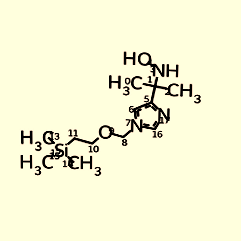 CC(C)(NO)c1cn(COCC[Si](C)(C)C)cn1